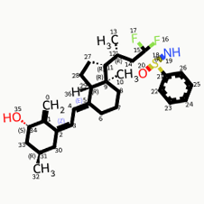 C=C1/C(=C\C=C2/CCC[C@]3(C)[C@@H]([C@H](C)CC(F)(F)[S@](=N)(=O)c4ccccc4)CC[C@@H]23)C[C@@H](C)C[C@@H]1O